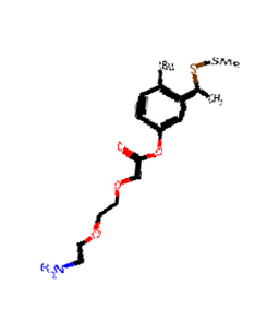 CSSC(C)c1cc(OC(=O)COCCOCCN)ccc1C(C)(C)C